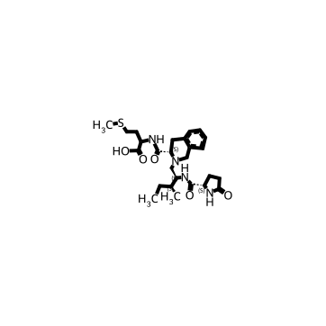 CC[C@H](C)[C@@H](CN1Cc2ccccc2C[C@H]1C(=O)NC(CCSC)C(=O)O)NC(=O)[C@@H]1CCC(=O)N1